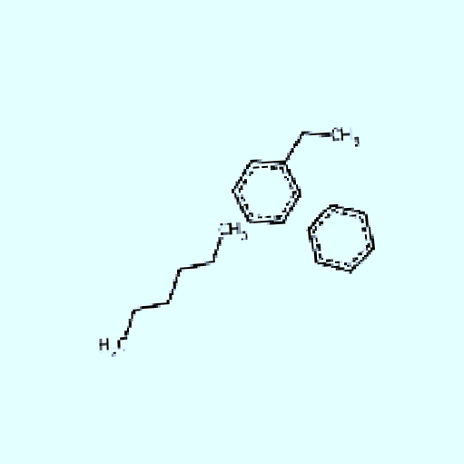 CCCCCC.CCc1ccccc1.c1ccccc1